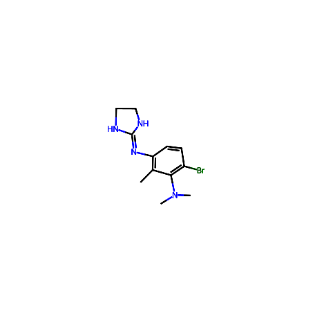 Cc1c(N=C2NCCN2)ccc(Br)c1N(C)C